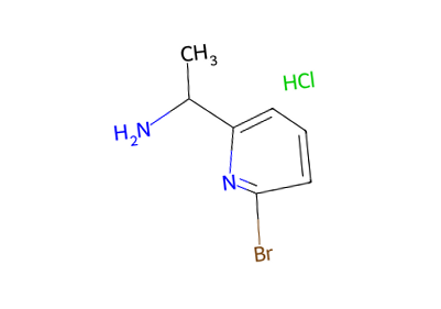 CC(N)c1cccc(Br)n1.Cl